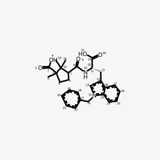 CC1(C(=O)O)CCC(C(=O)N[C@@H](Cc2cn(Cc3ccccc3)c3ccccc23)C(=O)O)C1(C)C